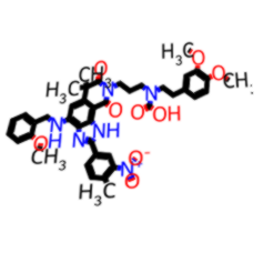 COc1ccccc1CNc1cc2c(c3[nH]c(-c4ccc(C)c([N+](=O)[O-])c4)nc13)C(=O)N(CCCN(CCc1ccc(OC)c(OC)c1)C(=O)O)C(=O)C2(C)C